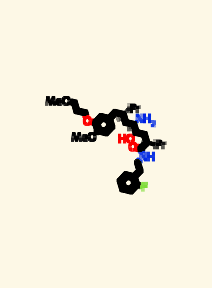 COCCCOc1cc(C[C@@H](C[C@H](N)[C@@H](O)C[C@H](C(=O)NCCc2ccccc2F)C(C)C)C(C)C)ccc1OC